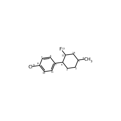 CC1CCC(c2ccc(Cl)cc2)C(F)C1